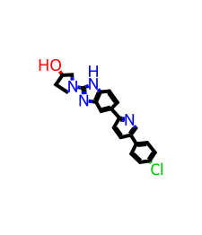 OC1CCN(c2nc3cc(-c4ccc(-c5ccc(Cl)cc5)cn4)ccc3[nH]2)C1